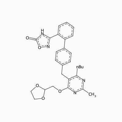 CCCCc1nc(C)nc(OCC2OCCO2)c1Cc1ccc(-c2ccccc2-c2noc(=O)[nH]2)cc1